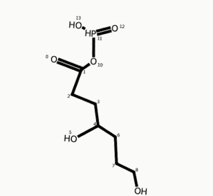 O=C(CCC(O)CCCO)O[PH](=O)O